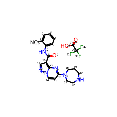 N#Cc1ccccc1NC(=O)c1cnn2ccc(N3CCCNCC3)nc12.O=C(O)C(F)(F)F